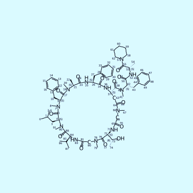 CC(C)C[C@H]1C(=O)N(C)[C@@H](Cc2ccccc2)C(=O)N(C)[C@@H](C)C(=O)N[C@@H](Cc2ccccc2)C(=O)N[C@H](C(=O)N(C)[C@@H](Cc2ccccc2)C(=O)N[C@@H](C)C(=O)N2CCCCC2)CC(=O)N(C)CC(=O)N[C@@H]([C@@H](C)O)C(=O)N(C)CC(=O)N[C@@H](C(C)C)C(=O)N1C